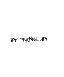 CC(C)CC#[N+]N=N[N+]#CCC(C)C